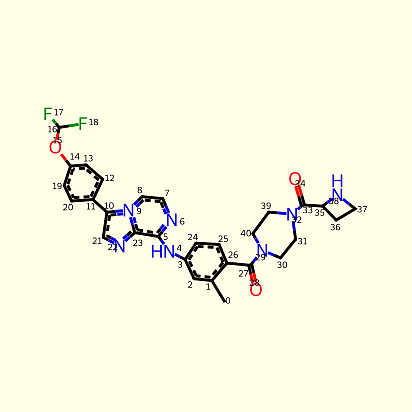 Cc1cc(Nc2nccn3c(-c4ccc(OC(F)F)cc4)cnc23)ccc1C(=O)N1CCN(C(=O)C2CCN2)CC1